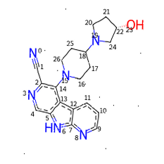 N#Cc1ncc2[nH]c3ncccc3c2c1N1CCC(N2CC[C@H](O)C2)CC1